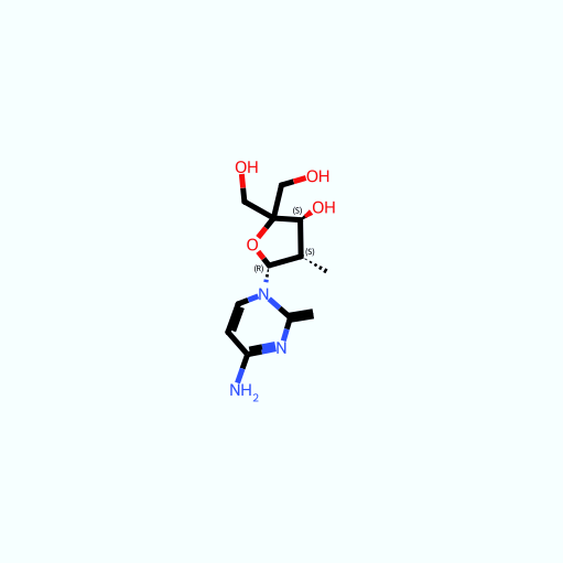 C=C1N=C(N)C=CN1[C@@H]1OC(CO)(CO)[C@@H](O)[C@@H]1C